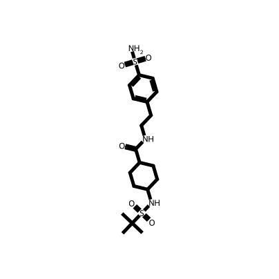 CC(C)(C)S(=O)(=O)NC1CCC(C(=O)NCCc2ccc(S(N)(=O)=O)cc2)CC1